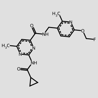 Cc1cc(C(=O)NCc2ccc(OCF)nc2C)nc(NC(=O)C2CC2)n1